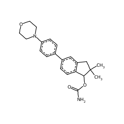 CC1(C)Cc2cc(-c3ccc(N4CCOCC4)cc3)ccc2C1OC(N)=O